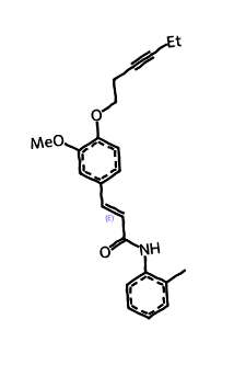 CCC#CCCOc1ccc(/C=C/C(=O)Nc2ccccc2C)cc1OC